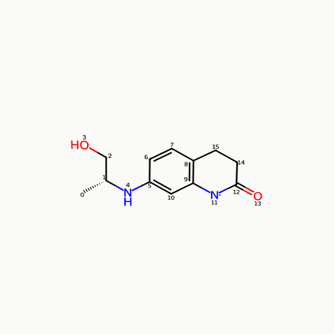 C[C@H](CO)Nc1ccc2c(c1)[N]C(=O)CC2